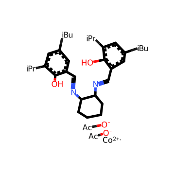 CC(=O)[O-].CC(=O)[O-].CCC(C)c1cc(C=NC2CCCCC2N=Cc2cc(C(C)CC)cc(C(C)C)c2O)c(O)c(C(C)C)c1.[Co+2]